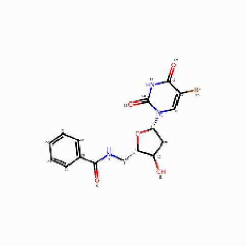 O=C(NC[C@@H]1O[C@H](n2cc(Br)c(=O)[nH]c2=O)CC1O)c1ccccc1